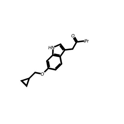 CC(C)C(=O)Cc1c[nH]c2cc(OCC3CC3)ccc12